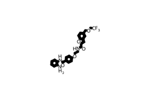 Nc1ccccc1NC(=O)c1ccc(OCCNC(=O)c2cc3cc(COCC(F)(F)F)ccc3o2)cc1